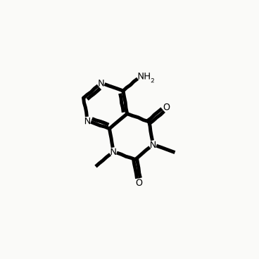 Cn1c(=O)c2c(N)ncnc2n(C)c1=O